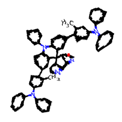 Cc1cc(N(c2ccccc2)c2ccccc2)ccc1-c1ccc2c(c1)C1(c3cc(-c4ccc(N(c5ccccc5)c5ccccc5)cc4C)ccc3N2c2ccccc2)c2cccnc2-c2ncccc21